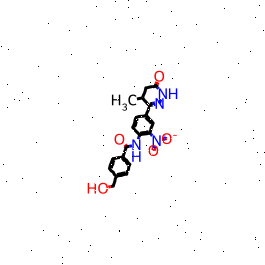 CC1CC(=O)NN=C1c1ccc(NC(=O)c2ccc(CO)cc2)c([N+](=O)[O-])c1